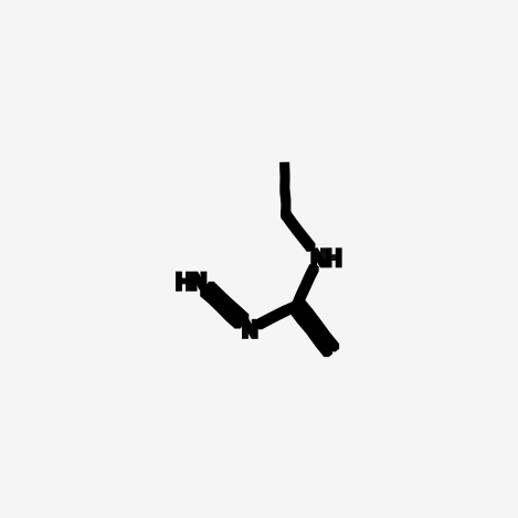 C=C(N=N)NCC